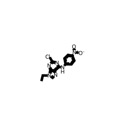 CCn1cnc2c(Nc3ccc([N+](=O)[O-])cc3)nc(Cl)nc21